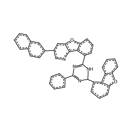 c1ccc(C2=NC(c3cccc4oc5ccccc5c34)NC(c3cccc4oc5cc(-c6ccc7ccccc7c6)cnc5c34)=N2)cc1